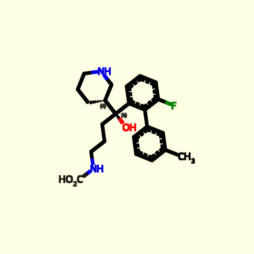 Cc1cccc(-c2c(F)cccc2[C@](O)(CCCNC(=O)O)[C@@H]2CCCNC2)c1